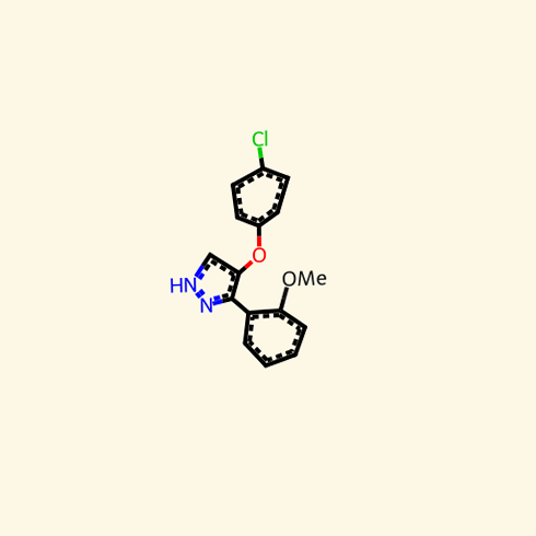 COc1ccccc1-c1n[nH]cc1Oc1ccc(Cl)cc1